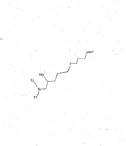 CCCCCCCCCCCCCCCCC(O)CN(CC)CC